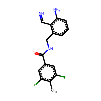 N=Cc1c(N)cccc1CNC(=O)c1cc(F)c(C(F)(F)F)c(F)c1